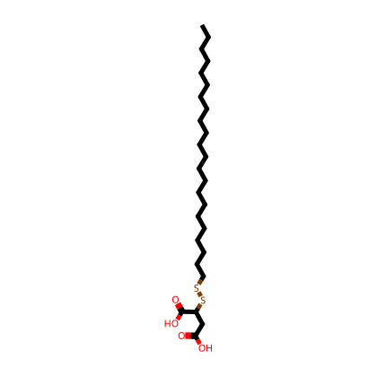 CCCCCCCCCCCCCCCCCCCCCCSSC(CC(=O)O)C(=O)O